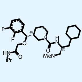 CNC[C@H](CC1CCCCC1)NC(=O)N1CCC[C@@H](C(OCC(=O)NC(C)C)c2cccc(F)c2F)C1